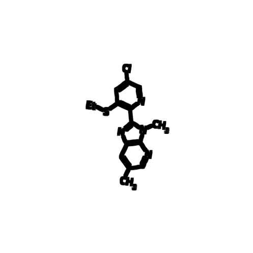 CCSc1cc(Cl)cnc1-c1nc2cc(C)cnc2n1C